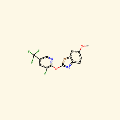 COc1ccc2nc(Oc3ncc(C(F)(F)F)cc3F)sc2c1